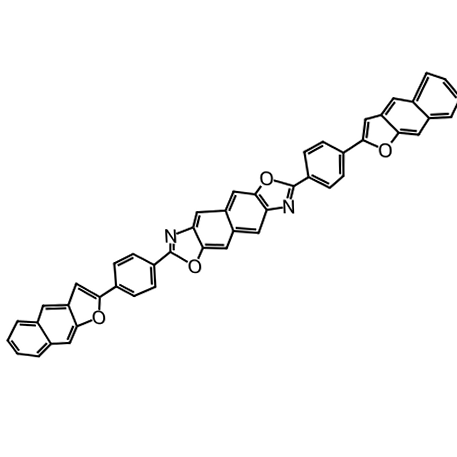 c1ccc2cc3oc(-c4ccc(-c5nc6cc7cc8oc(-c9ccc(-c%10cc%11cc%12ccccc%12cc%11o%10)cc9)nc8cc7cc6o5)cc4)cc3cc2c1